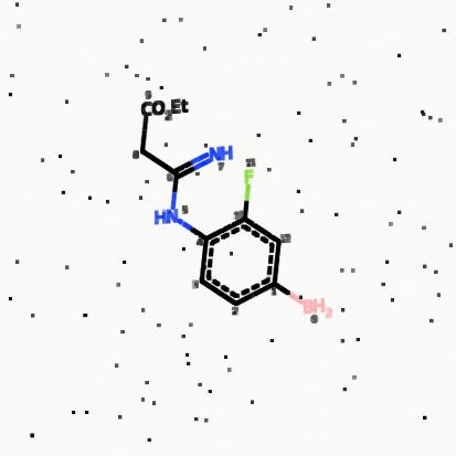 Bc1ccc(NC(=N)CC(=O)OCC)c(F)c1